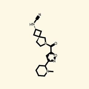 CN1CCCCC1c1cc(C(=O)N2CC[C@]3(C2)C[C@@H](NC#N)C3)on1